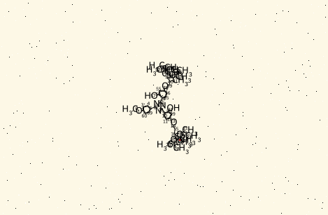 COc1ccc(-c2nc(-c3ccc(OCCC[Si](C)(O[Si](C)(C)C)O[Si](C)(C)C)cc3O)nc(-c3ccc(OCC(C)C[Si](C)(O[Si](C)(C)C)O[Si](C)(C)C)cc3O)n2)cc1